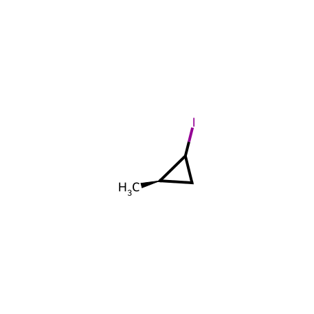 C[C@@H]1CC1I